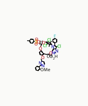 COc1ccccc1-c1nccc(COc2ccc3cc2C[C@H](C(=O)O)Oc2ncnc4c(Cl)c(-c5ccc(F)cc5)n(c24)-c2c(C)c(Cl)c(c(Cl)c2C)O[C@H](COS(=O)(=O)c2ccc(C)cc2)CO3)n1